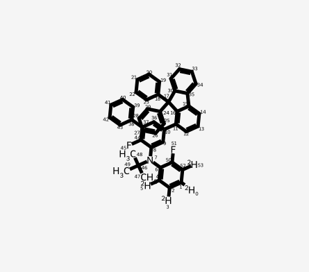 [2H]c1c([2H])c([2H])c(N(c2cc(-c3cccc4c3C(c3ccccc3)(c3ccccc3)c3ccccc3-4)cc(-c3ccccc3)c2F)C(C)(C)C)c(F)c1[2H]